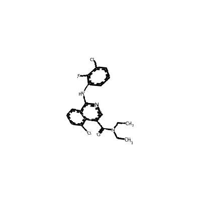 CCN(CC)C(=O)c1cnc(Nc2cccc(Cl)c2F)c2cccc(Cl)c12